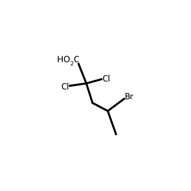 CC(Br)CC(Cl)(Cl)C(=O)O